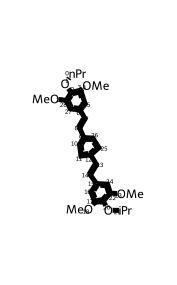 CCCOc1c(OC)cc(/C=C/c2ccc(/C=C/c3cc(OC)c(OC(C)C)c(OC)c3)cc2)cc1OC